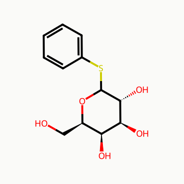 OC[C@H]1OC(Sc2ccccc2)[C@H](O)[C@@H](O)[C@H]1O